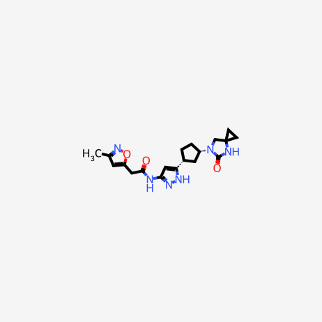 Cc1cc(CC(=O)Nc2cc([C@@H]3CC[C@H](N4CC5(CC5)NC4=O)C3)[nH]n2)on1